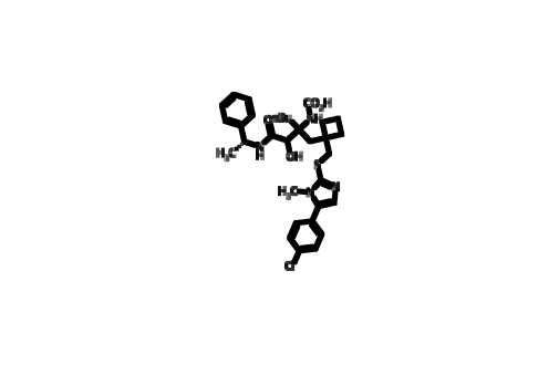 CCCCC(CC1(CSc2ncc(-c3ccc(Cl)cc3)n2C)CCC1)(NC(=O)O)C(O)C(=O)N[C@H](C)c1ccccc1